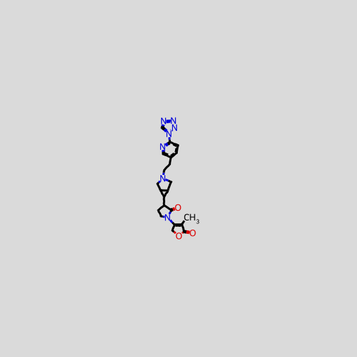 CC1=C(N2CCC(C3C4CN(CCc5ccc(-n6cnnn6)nc5)CC43)C2=O)COC1=O